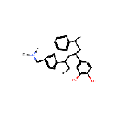 CCC(C)N(CC)Cc1ccc(C(CC(C)C)CC(CC(c2ccccc2)C(C)C)c2ccc(O)c(O)c2)cc1